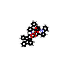 c1ccc(-c2ccccc2-c2c(-c3ccccc3)cccc2N(c2ccc(-c3cccc4c5ccccc5n(-c5ccccc5)c34)cc2)c2ccc3c(c2)-c2ccccc2C32c3ccccc3-c3ccccc32)cc1